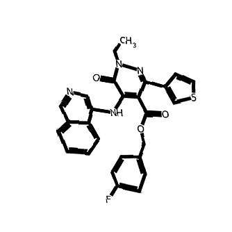 CCn1nc(-c2ccsc2)c(C(=O)OCc2ccc(F)cc2)c(Nc2cncc3ccccc23)c1=O